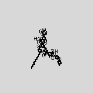 CCCCCCCCCCCCCc1ccc(C(=O)c2cc(CN(C=O)CC(OC=O)C3C=C(C)C(C(=O)Nc4ccc(Oc5ccc(C)cc5)cc4)C(C(=O)O)C3)cc(NC(=O)C3C(C)=CC(C(CN(C)C=O)OC=O)CC3C(=O)O)c2)cc1